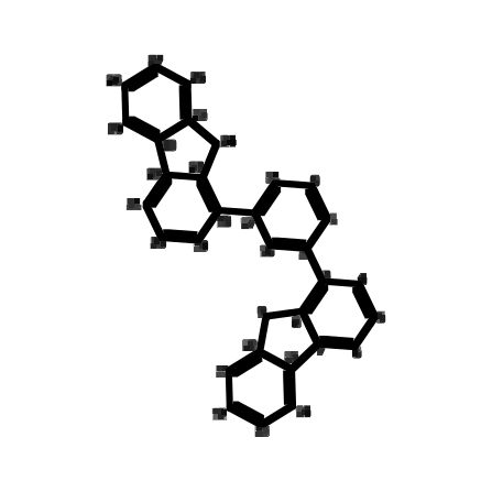 c1cc(-c2cccc3c2Cc2ccccc2-3)cc(-c2cccc3c2Cc2ccccc2-3)c1